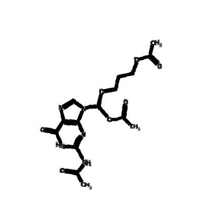 CC(=O)Nc1nc2c(ncn2C(OCCCOC(C)=O)OC(C)=O)c(=O)[nH]1